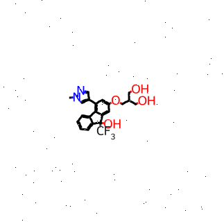 Cn1cc(-c2cc(OCC(CO)CO)cc3c2-c2ccccc2C3(O)C(F)(F)F)cn1